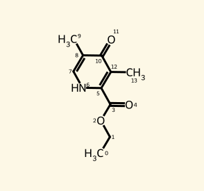 CCOC(=O)c1[nH]cc(C)c(=O)c1C